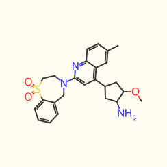 COC1CC(c2cc(N3CCS(=O)(=O)c4ccccc4C3)nc3ccc(C)cc23)CC1N